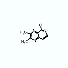 Cc1nc2ccnc(Cl)c2nc1C